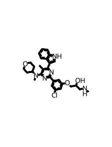 CNCC(O)COc1cc(Cl)cc(-c2nc(-c3c[nH]c4ccccc34)c(C)c(N(C)C3CCOCC3)n2)c1